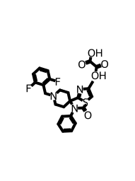 CC(=O)N(c1ccccc1)C1(c2nc(C)cs2)CCN(Cc2c(F)cccc2F)CC1.O=C(O)C(=O)O